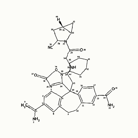 C=C(N)c1ccc2c(c1)CCc1cc(C(N)=O)ccc1C2(CCNCC(=O)N1C(C#N)C[C@@H]2CC21)c1nc(=O)on1C1CCCCC1